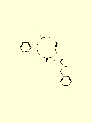 CN(Cc1ccc(Cl)cc1)C(=O)C[C@@H]1C/C=C/CCC(=O)O[C@H](c2ccccc2)CN(C)C1=O